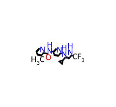 Cc1cccnc1C(=O)Nc1ccc(N/C(=C\C(=N)C(F)(F)F)C2CC2)nc1